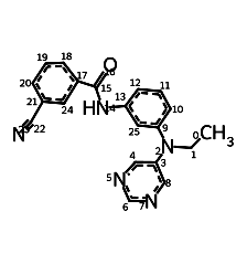 CCN(c1cncnc1)c1cccc(NC(=O)c2cccc(C#N)c2)c1